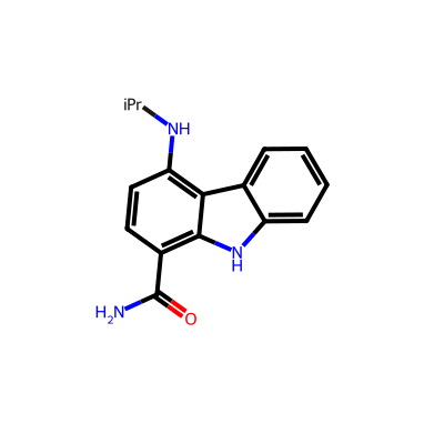 CC(C)Nc1ccc(C(N)=O)c2[nH]c3ccccc3c12